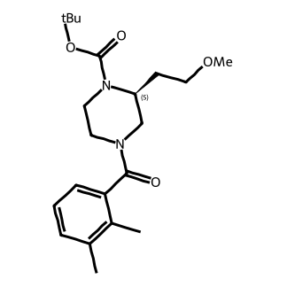 COCC[C@H]1CN(C(=O)c2cccc(C)c2C)CCN1C(=O)OC(C)(C)C